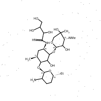 CC[C@@H]1CCC(N)[C@@H](OC2C(O)C(O[C@H]3OCC(C)(O)[C@H](NC)C3O)[C@H](NC(=N)C(O)C(O)CO)C[C@@H]2C)O1